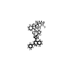 CN[C@@H](C)C(=O)N[C@H](C(=O)N1CCCC1c1nc(-c2cc(-c3ccccc3)nc3ccccc23)cs1)C1CCCCC1